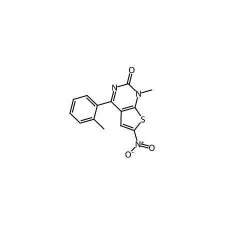 Cc1ccccc1-c1nc(=O)n(C)c2sc([N+](=O)[O-])cc12